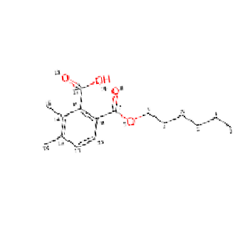 CCCCCCOC(=O)c1ccc(C)c(C)c1C(=O)O